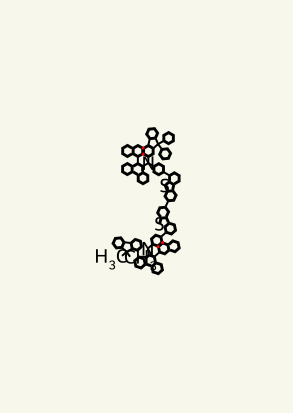 CC1(C)c2ccccc2-c2ccc(N(c3ccc(-c4cccc5c4sc4ccc(-c6ccc7c(c6)sc6c(-c8ccc(N(c9ccc%10c(c9)C(c9ccccc9)(c9ccccc9)c9ccccc9-%10)c9c(-c%10cccc%11ccccc%10%11)c%10ccccc%10c%10ccccc9%10)cc8)cccc67)cc45)cc3)c3c(-c4ccc5ccccc5c4)c4ccccc4c4ccccc34)cc21